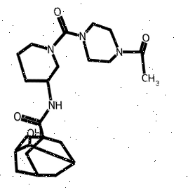 CC(=O)N1CCN(C(=O)N2CCCC(NC(=O)C34CC5CC(C3)C(O)C(C5)C4)C2)CC1